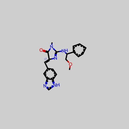 COCC(NC1=N/C(=C\c2ccc3[nH]cnc3c2)C(=O)N1C)c1ccccc1